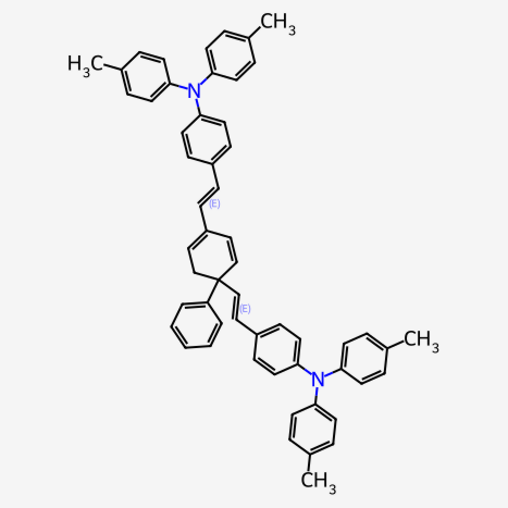 Cc1ccc(N(c2ccc(C)cc2)c2ccc(/C=C/C3=CCC(/C=C/c4ccc(N(c5ccc(C)cc5)c5ccc(C)cc5)cc4)(c4ccccc4)C=C3)cc2)cc1